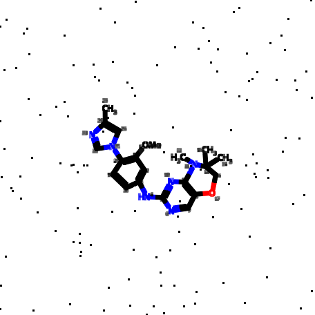 COc1cc(Nc2ncc3c(n2)N(C)C(C)(C)CO3)ccc1-n1cnc(C)c1